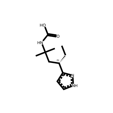 CC[C@@H](CC(C)(C)NC(=O)O)c1cc[nH]n1